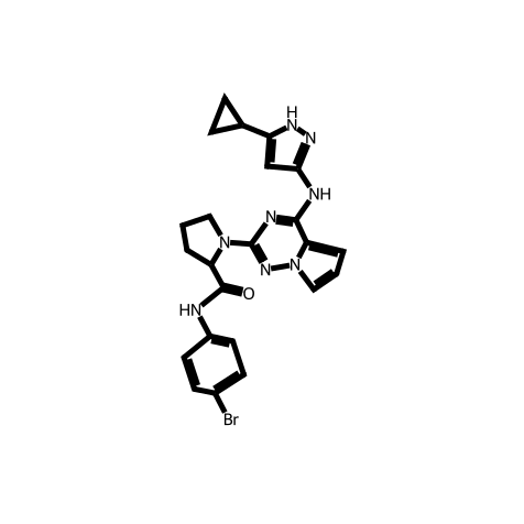 O=C(Nc1ccc(Br)cc1)C1CCCN1c1nc(Nc2cc(C3CC3)[nH]n2)c2cccn2n1